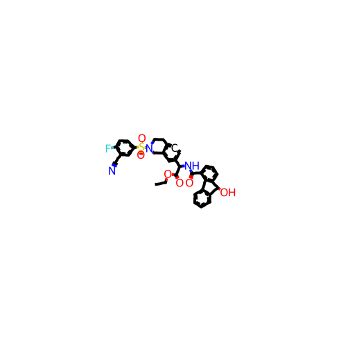 CCOC(=O)C(NC(=O)c1cccc2c1-c1ccccc1C2O)c1ccc2c(c1)CN(S(=O)(=O)c1ccc(F)c(C#N)c1)CC2